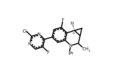 CC(C)N1c2cc(-c3nc(Cl)ncc3F)cc(F)c2[C@H]2CC2C1C